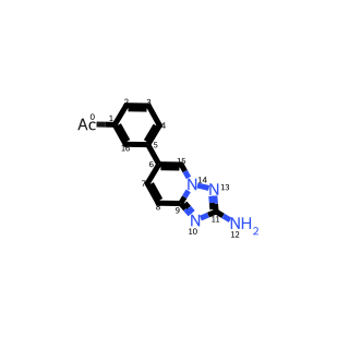 CC(=O)c1cccc(-c2ccc3nc(N)nn3c2)c1